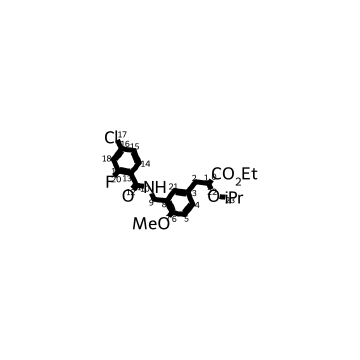 CCOC(=O)C(Cc1ccc(OC)c(CNC(=O)c2ccc(Cl)cc2F)c1)OC(C)C